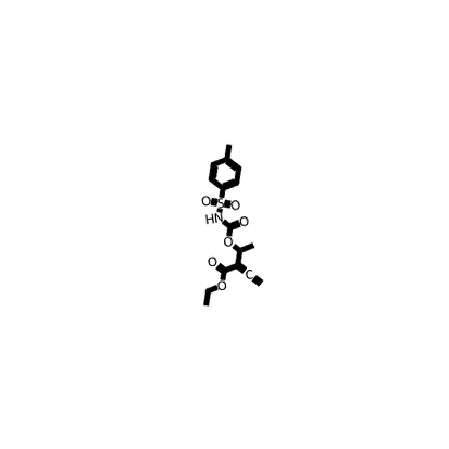 C=C=C(C(=O)OCC)C(C)OC(=O)NS(=O)(=O)c1ccc(C)cc1